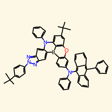 CC(C)(C)c1ccc(-n2nc3cc4c(cc3n2)N(c2ccccc2)c2cc(C(C)(C)C)cc3c2B4c2ccc(N(c4ccccc4)c4c5ccccc5c(-c5ccccc5)c5ccccc45)cc2O3)cc1